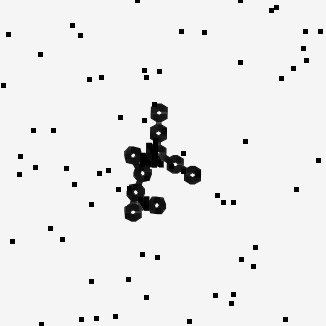 c1ccc(-c2ccc(-c3cc(-c4ccc(-c5ccccc5)cc4)nc(-n4c5ccccc5c5cc(-c6ccc7c8ccccc8n(-c8ccccc8)c7c6)ccc54)n3)cc2)cc1